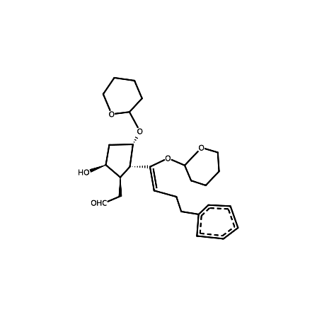 O=CC[C@@H]1[C@@H](C(=CCCc2ccccc2)OC2CCCCO2)[C@@H](OC2CCCCO2)C[C@@H]1O